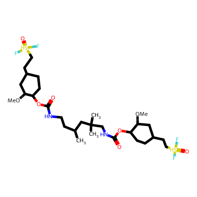 COC1CC(CC[SH](=O)(F)F)CCC1OC(=O)NCCC(C)CC(C)(C)CNC(=O)OC1CCC(CC[SH](=O)(F)F)CC1OC